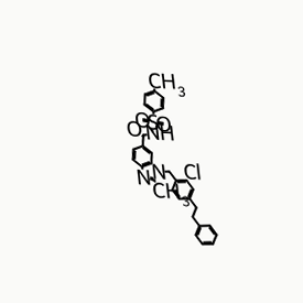 Cc1ccc(S(=O)(=O)NC(=O)c2ccc3nc(C)n(Cc4ccc(CCc5ccccc5)cc4Cl)c3c2)cc1